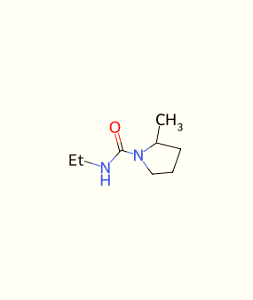 CCNC(=O)N1CCCC1C